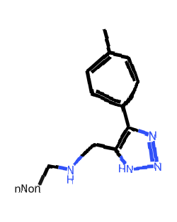 CCCCCCCCCCNCc1[nH]nnc1-c1ccc(C)cc1